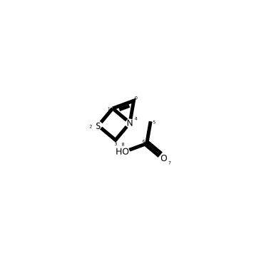 C1=C2SCN12.CC(=O)O